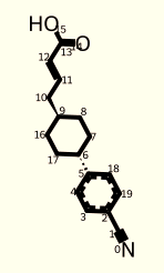 N#Cc1ccc([C@H]2CC[C@H](C/C=C/C(=O)O)CC2)cc1